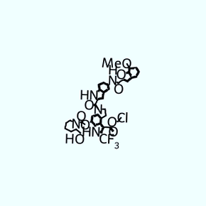 COc1cccc2cc(C(=O)Nc3ccc4[nH]c(C(=O)N5CCc6c5cc(OC(=O)N5CCCCC5CO)c5[nH]c(C(F)(F)F)c(C(=O)OCCl)c65)cc4c3)oc12